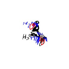 CCC(CC)(COc1n[nH]c(-c2cc(C)cc(C)c2)c1[C@H](C)CNCCc1ccc(N(C(N)=O)C2CCCCC2)cc1)C(=O)C1C2CCN1CC2